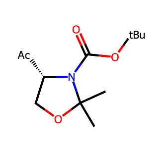 CC(=O)[C@H]1COC(C)(C)N1C(=O)OC(C)(C)C